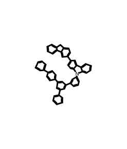 c1ccc(-c2ccc(-c3cc(-c4ccccc4)cc(-c4cccc(-n5c6ccccc6c6cc(-c7ccc8c(c7)-c7ccccc7C8)ccc65)c4)c3)cc2)cc1